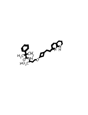 CC(C)(C(=O)NC(CCOC1CC(CCc2ccc3c(n2)NCCC3)C1)C(=O)O)c1ccccc1